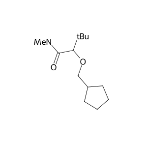 CNC(=O)C(OCC1CCCC1)C(C)(C)C